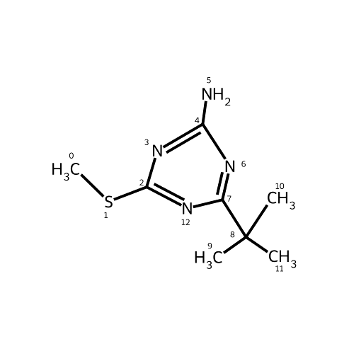 CSc1nc(N)nc(C(C)(C)C)n1